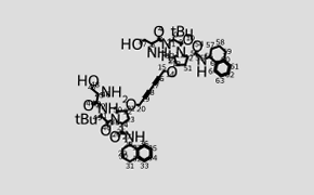 CC(C)(C)[C@H](NC(=O)[C@@H](N)CO)C(=O)N1C[C@@H](OCC#CC#CCO[C@H]2C[C@@H](C(=O)N[C@@H]3CCCc4ccccc43)N(C(=O)[C@@H](NC(=O)[C@@H](N)CO)C(C)(C)C)C2)C[C@H]1C(=O)NC1CCCc2ccccc21